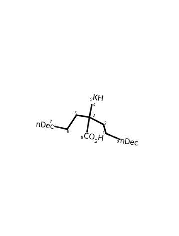 CCCCCCCCCCCCC(C)(CCCCCCCCCCCC)C(=O)O.[KH]